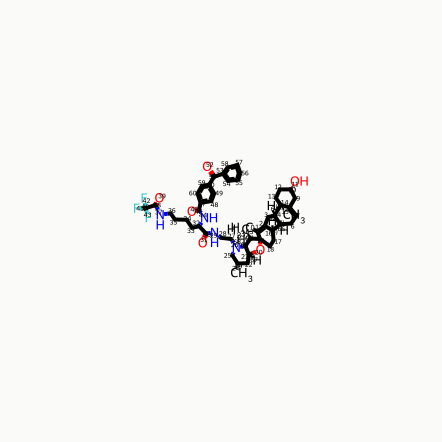 CC1=C2C[C@H]3[C@@H](CC=C4C[C@@H](O)CC[C@@]43C)[C@@H]2CCC12O[C@@H]1C[C@H](C)CN(CCNC(=O)C(CCCCNC(=O)C(F)(F)F)NC(=O)c3ccc(C(=O)c4ccccc4)cc3)[C@H]1[C@H]2C